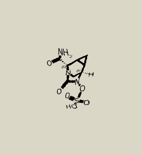 NC(=O)[C@@H]1C2CC2[C@@H]2CN1C(=O)N2OS(=O)(=O)O